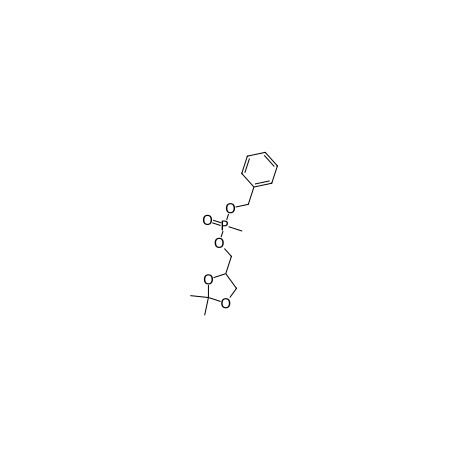 CC1(C)OCC(COP(C)(=O)OCc2ccccc2)O1